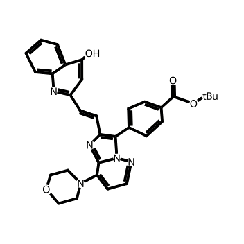 CC(C)(C)OC(=O)c1ccc(-c2c(/C=C/c3cc(O)c4ccccc4n3)nc3c(N4CCOCC4)ccnn23)cc1